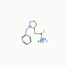 Cl.NC(=S)CC1CCCN1Cc1ccccc1